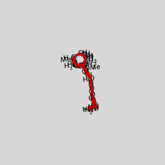 CO[C@H]1C[C@@H]2CC[C@@H](C)[C@@](O)(O2)C(=O)C(=O)N2CCCC[C@H]2C(=O)O[C@H]([C@H](N)C[C@@H]2CC[C@@H](OC(=O)N3CCN(c4ncc(C(=O)NCCOCCOCCOCCOCCOCCC(=O)N5CCc6cc(Cn7nc(-c8cnc9[nH]cnc9c8)c8c(N)ncnc87)ccc6C5)cn4)CC3)[C@H](OC)C2)CC(=O)[C@H](C)/C=C(\C)[C@@H](O)[C@@H](O)C(=O)[C@H](C)C[C@H](C)/C=C/C=C/C=C/1C